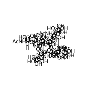 CC(=O)N[C@@H]1[C@@H](O)[C@H](O[C@@H]2O[C@H](CO)[C@@H](O[C@@H]3O[C@H](CO)[C@@H](O)[C@H](O[C@H]4O[C@H](CO[C@H]5O[C@H](CO[C@@H]6O[C@H](CO)[C@@H](O[C@@H]7O[C@H](CO)[C@H](O)[C@H](O)[C@H]7O)[C@H](O)[C@H]6NC(C)=O)[C@@H](O)[C@H](O)[C@@H]5O[C@@H]5O[C@H](CO)[C@@H](O[C@@H]6O[C@H](CO)[C@H](O)[C@H](O)[C@H]6O)[C@H](O)[C@H]5NC(C)=O)[C@@H](O)[C@H](O)[C@@H]4O[C@@H]4O[C@H](CO)[C@@H](O[C@@H]5O[C@H](CO)[C@H](O)[C@H](O)[C@H]5O)[C@H](O)[C@H]4NC(C)=O)[C@@H]3O)[C@H](O)[C@H]2NC(C)=O)[C@@H](CO)O[C@H]1O